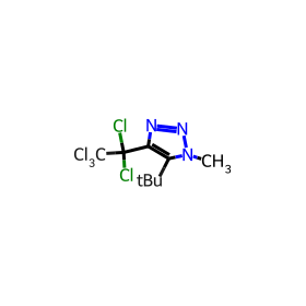 Cn1nnc(C(Cl)(Cl)C(Cl)(Cl)Cl)c1C(C)(C)C